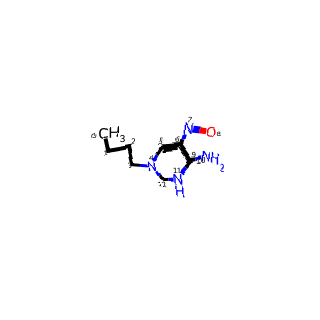 CCCCN1C=C(N=O)C(N)NC1